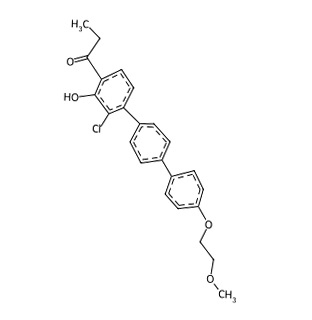 CCC(=O)c1ccc(-c2ccc(-c3ccc(OCCOC)cc3)cc2)c(Cl)c1O